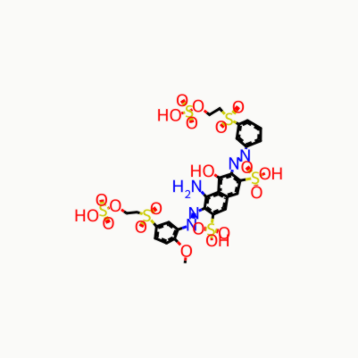 COc1ccc(S(=O)(=O)CCOS(=O)(=O)O)cc1/N=N/c1c(S(=O)(=O)O)cc2cc(S(=O)(=O)O)c(/N=N/c3cccc(S(=O)(=O)CCOS(=O)(=O)O)c3)c(O)c2c1N